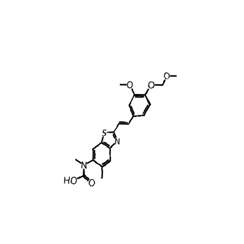 COCOc1ccc(C=Cc2nc3cc(C)c(N(C)C(=O)O)cc3s2)cc1OC